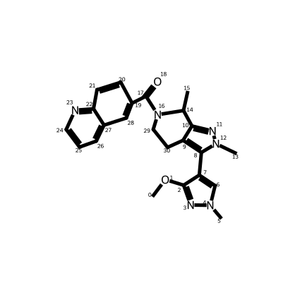 COc1nn(C)cc1-c1c2c(nn1C)C(C)N(C(=O)c1ccc3ncccc3c1)CC2